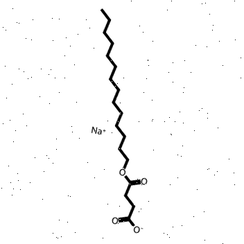 CCCCCCCCCCCCCCOC(=O)CCC(=O)[O-].[Na+]